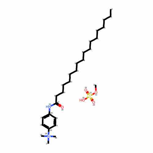 CCCCCCCCCCCCCCCCCC(=O)Nc1ccc([N+](C)(C)C)cc1.COS(=O)(=O)O